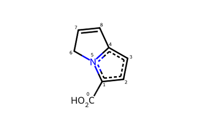 O=C(O)c1ccc2n1CC=C2